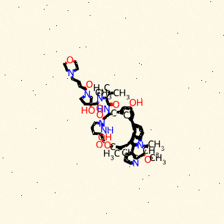 CCn1c(-c2cccnc2[C@H](C)OC)c2c3cc(ccc31)-c1cc(O)cc(c1)C[C@H](NC(=O)[C@H](C(C)C)N(C)C(=O)C1(O)CCN(C(=O)/C=C/CN3CCOCC3)C1)C(=O)N1CCC[C@@](O)(N1)C(=O)OCC(C)(C)C2